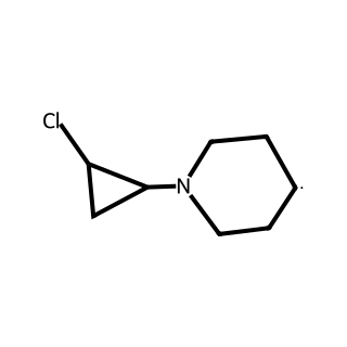 ClC1CC1N1CC[CH]CC1